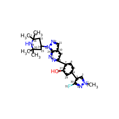 Cn1cc(-c2ccc(-c3cc4cnn(C5CC(C)(C)NC(C)(C)C5)c4nn3)c(O)c2)c(F)n1